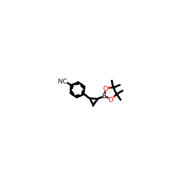 CC1(C)OB(C2CC2c2ccc(C#N)cc2)OC1(C)C